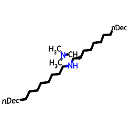 CCCCCCCCCCCCCCCCCCNCCCCCCCCCCCCCCCCCC.CN(C)C